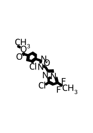 CCOC(=O)c1ccc(-c2noc(-c3cn4cc(C(C)(F)F)cc(Cl)c4n3)n2)c(Cl)c1